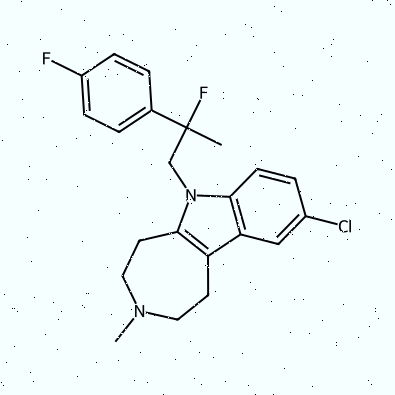 CN1CCc2c(n(CC(C)(F)c3ccc(F)cc3)c3ccc(Cl)cc23)CC1